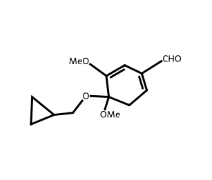 COC1=CC(C=O)=CCC1(OC)OCC1CC1